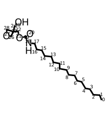 CCCCCCCCCCCCCCCCCCNC(=O)OCC1(CO)COC1